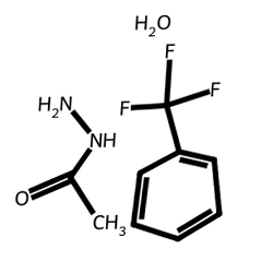 CC(=O)NN.FC(F)(F)c1ccccc1.O